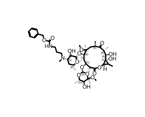 CO[C@]1(C)O[C@H](O[C@H]2[C@H](C)[C@@H](O[C@@H]3O[C@H](C)C[C@H](N(C)CCCNC(=O)OCc4ccccc4)[C@H]3O)[C@@](C)(OC)C[C@@H](C)C(=O)[C@H](C)[C@@H](O)[C@@]3(O)C(C)[C@H]3OC(=O)[C@@H]2C)O[C@@H](C)[C@@H]1O